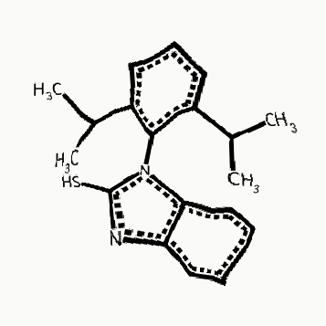 CC(C)c1cccc(C(C)C)c1-n1c(S)nc2ccccc21